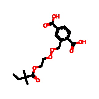 CCC(C)(C)C(=O)OCCOOCc1cc(C(=O)O)ccc1C(=O)O